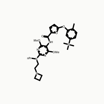 CCCN(CCN1CCC1)c1nc(OC)c(NC(=O)c2ccc(Oc3cc([Si](C)(C)C)ccc3C)o2)c(OC)n1